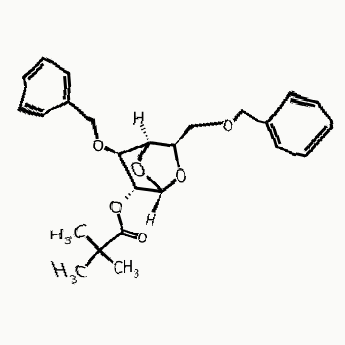 CC(C)(C)C(=O)O[C@H]1[C@@H]2O[C@@H]([C@@H]1OCc1ccccc1)[C@@H](COCc1ccccc1)O2